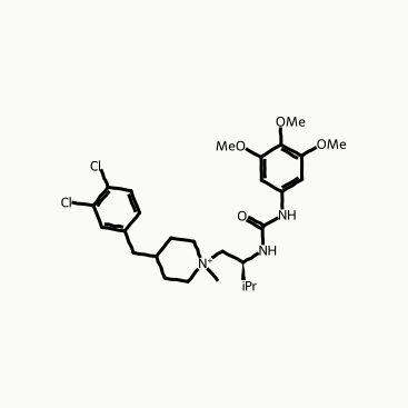 COc1cc(NC(=O)N[C@H](C[N+]2(C)CCC(Cc3ccc(Cl)c(Cl)c3)CC2)C(C)C)cc(OC)c1OC